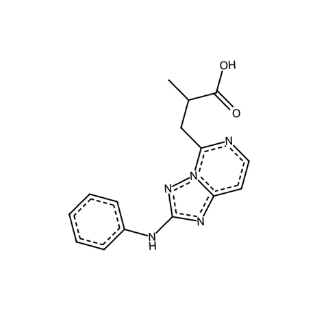 CC(Cc1nccc2nc(Nc3ccccc3)nn12)C(=O)O